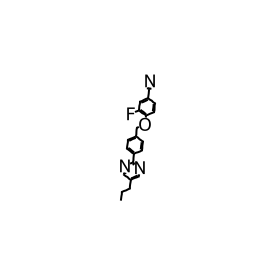 CCCc1cnc(-c2ccc(COc3ccc(C#N)cc3F)cc2)nc1